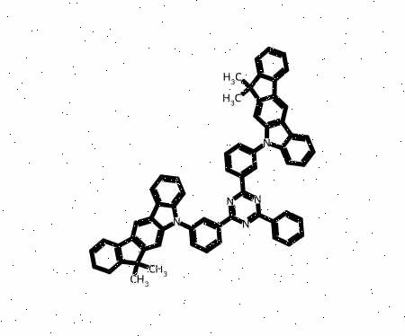 CC1(C)C2=C(C=CCC2)c2cc3c4ccccc4n(-c4cccc(-c5nc(-c6ccccc6)nc(-c6cccc(-n7c8ccccc8c8cc9c(cc87)C(C)(C)c7ccccc7-9)c6)n5)c4)c3cc21